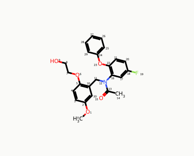 COc1ccc(OCCO)c(CN(C(C)=O)c2cc(F)ccc2Oc2ccccc2)c1